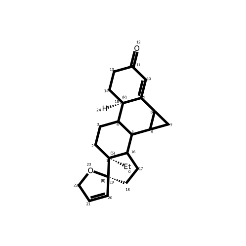 CC[C@]12CCC3C(C4CC4C4=CC(=O)CC[C@@H]43)C1CC[C@@]21C=CCO1